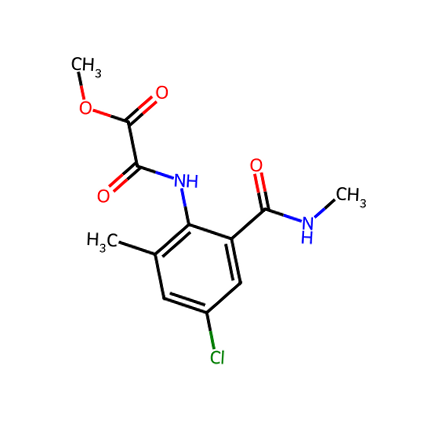 CNC(=O)c1cc(Cl)cc(C)c1NC(=O)C(=O)OC